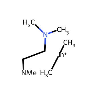 C[N-]CCN(C)C.[CH3][In+][CH3]